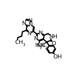 CCCCc1nc(-c2nc(N)c3c(n2)CNC(=O)C3(C)c2ccc(O)cc2)cn2ncnc12